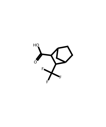 O=C(O)C1C2CCC(C2)C1C(F)(F)F